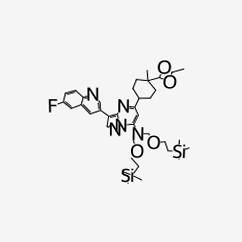 CC1OC(C2(C)CCC(c3cc(N(COCC[Si](C)(C)C)COCC[Si](C)(C)C)n4ncc(-c5cnc6ccc(F)cc6c5)c4n3)CC2)O1